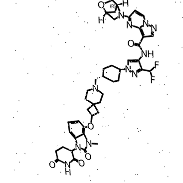 Cn1c(=O)n(C2CCC(=O)NC2=O)c2cccc(OC3CC4(CCN(C[C@H]5CC[C@H](n6cc(NC(=O)c7cnn8ccc(N9C[C@H]%10C[C@@H]9CO%10)nc78)c(C(F)F)n6)CC5)CC4)C3)c21